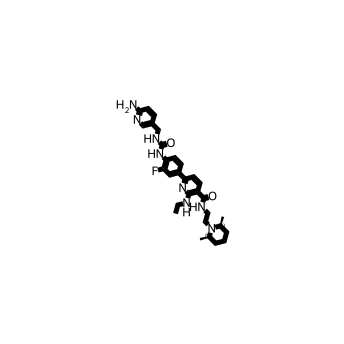 CCNc1nc(-c2ccc(NC(=O)NCc3ccc(N)nc3)c(F)c2)ccc1C(=O)NCCN1[C@H](C)CCC[C@@H]1C